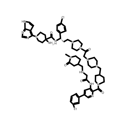 CCc1cccc(-c2cnc(C(=O)N3CCC(CN4CCN(CC(=O)N5CCN(CC[C@H](NC(=O)C6(N)CCN(c7ncnc8[nH]ccc78)CC6)c6ccc(Cl)cc6)CC5)CC4)CC3)c(NC(=O)CNCC3CCN(C)C(=O)C3)c2)c1